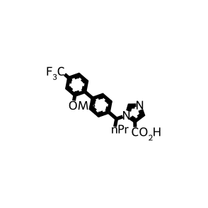 CCCC(c1ccc(-c2ccc(C(F)(F)F)cc2OC)cc1)n1cncc1C(=O)O